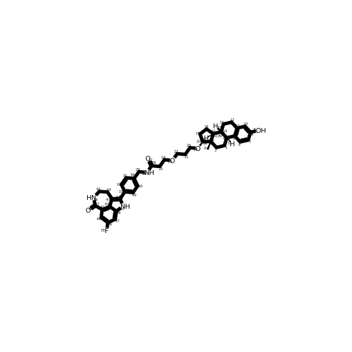 C[C@]12CC[C@@H]3c4ccc(O)cc4CC[C@H]3[C@@H]1CC[C@@H]2OCCCOCCC(=O)NCc1ccc(-c2[nH]c3cc(F)cc4c3c2CCNC4=O)cc1